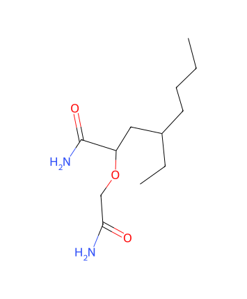 CCCCC(CC)CC(OCC(N)=O)C(N)=O